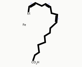 CC/C=C\C/C=C\C/C=C\CCCCCCCC(=O)O.[Fe]